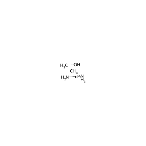 C.CCCN.CO.N